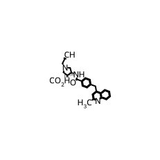 C#CCN1C[C@H](C(=O)O)[C@H](NC(=O)c2ccc(Cc3cc(C)nc4ccccc34)cc2)C1